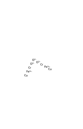 [Cr].[Cr].[Cu].[Cu].[Fe+3].[Fe+3].[O-2].[O-2].[O-2]